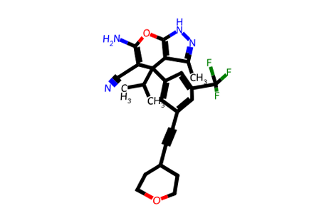 Cc1n[nH]c2c1C(c1cc(C#CC3CCOCC3)cc(C(F)(F)F)c1)(C(C)C)C(C#N)=C(N)O2